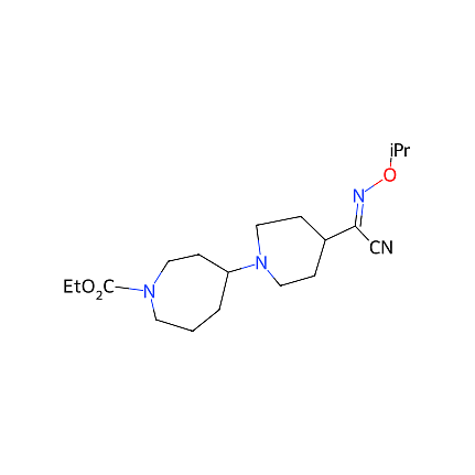 CCOC(=O)N1CCCC(N2CCC(C(C#N)=NOC(C)C)CC2)CC1